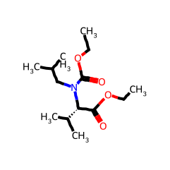 CCOC(=O)[C@H](C(C)C)N(CC(C)C)C(=O)OCC